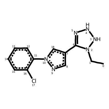 CCN1NNN=C1c1cnn(-c2ccccc2Cl)c1